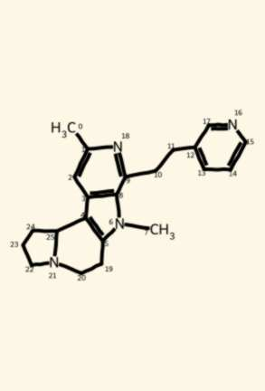 Cc1cc2c3c(n(C)c2c(CCc2cccnc2)n1)CCN1CCCC31